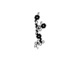 CCOC(Cc1ccc(OCCN(CCCOCc2ccc(F)cc2)C(=O)Nc2ccccc2F)cc1)C(=O)O